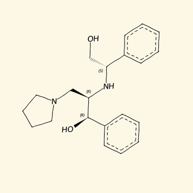 OC[C@@H](N[C@H](CN1CCCC1)[C@H](O)c1ccccc1)c1ccccc1